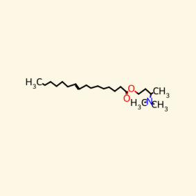 CCCCCC/C=C/CCCCCCCC(=O)OCCC(C)N(C)C